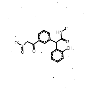 Cc1ccccc1C(C(=O)NCl)c1cccc(C(=O)C[N+](=O)[O-])c1